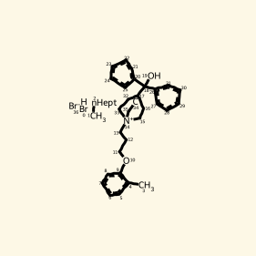 Br.CCCCCCCC.Cc1ccccc1OCCC[N+]12CCC(C(O)(c3ccccc3)c3ccccc3)(CC1)CC2.[Br-]